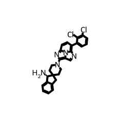 N[C@@H]1c2ccccc2CC12CCN(c1nc3ccc(-c4cccc(Cl)c4Cl)c4ncc1n34)CC2